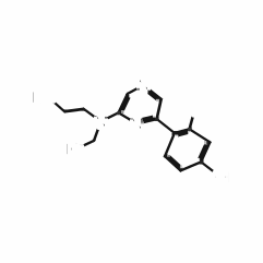 CCCN(CO)c1cncc(-c2ccc(O)cc2F)n1